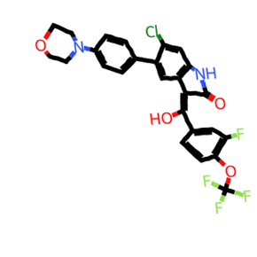 O=C1Nc2cc(Cl)c(-c3ccc(N4CCOCC4)cc3)cc2C1=C(O)c1ccc(OC(F)(F)F)c(F)c1